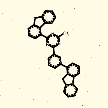 Cc1nc(-c2cccc(-c3cccc4c3Cc3ccccc3-4)c2)nc(-c2cccc3c2-c2ccccc2C3)n1